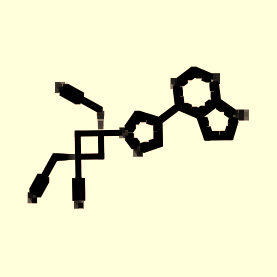 N#CC[C@]1(C#N)C[C@](CC#N)(n2cc(-c3ncnc4[nH]ccc34)cn2)C1